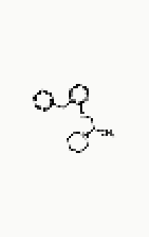 C[C@H](COc1ccccc1Cc1ccccc1)N1CCCCC1